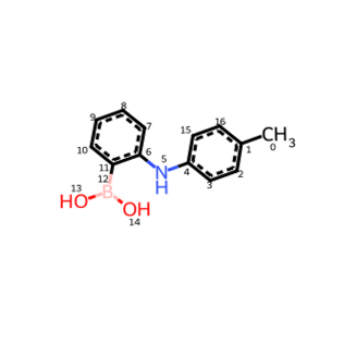 Cc1ccc(Nc2ccccc2B(O)O)cc1